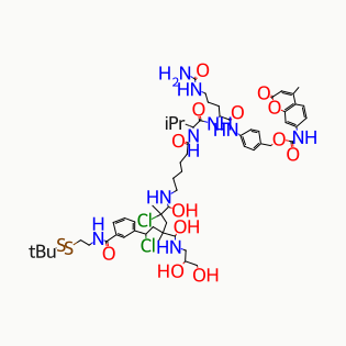 Cc1cc(=O)oc2cc(NC(=O)OCc3ccc(NC(=O)C(CCCNC(N)=O)NC(=O)C(NC(=O)CCCCCNC(O)C(C)(Cl)CC(C)(CC(Cl)c4cccc(C(=O)NCCSSC(C)(C)C)c4)C(O)NCC(O)CO)C(C)C)cc3)ccc12